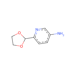 Nc1ccc(C2OCCO2)nc1